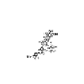 COc1ccc(C2CC(=O)c3c(O)cc(O[C@@H]4OC(CO[C@@H]5OC(C)[C@H](O)[C@H](O)C5O)[C@@H](COC[C@H]5OC(CO)[C@@H](O)[C@@H](O)C5O)[C@@H](O)C4O)cc3O2)cc1O